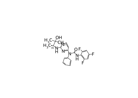 C[C@H](Nc1nccc(N(C(=O)Nc2c(F)cc(F)cc2F)c2ccccc2)n1)C(C)(C)O